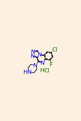 Cl.Fc1cc(Cl)cc2c1nc(N1CCNCC1)c1nncn12